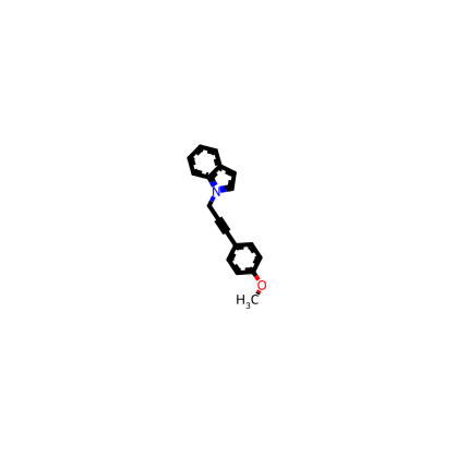 COc1ccc(C#CCn2ccc3ccccc32)cc1